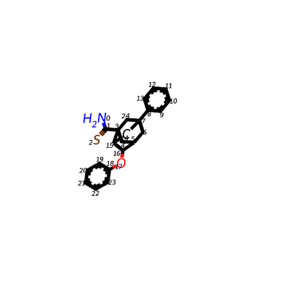 NC(=S)C12CC3CC(c4ccccc4)(CC1C3Oc1ccccc1)C2